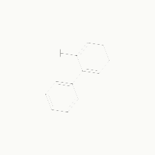 IC1=CCCC=C1c1ccccc1